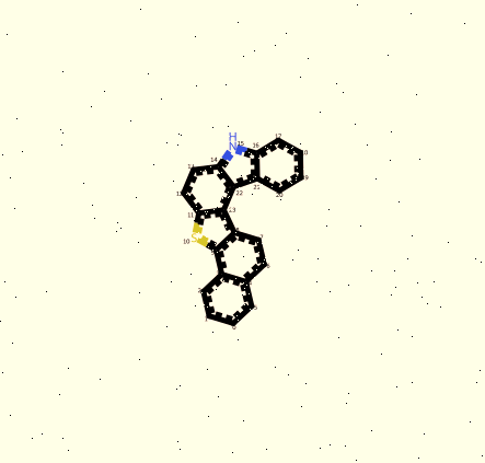 c1ccc2c(c1)ccc1c2sc2ccc3[nH]c4ccccc4c3c21